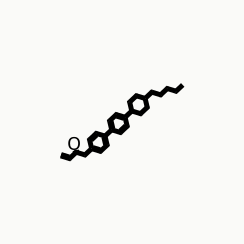 C=CC(=O)Cc1ccc(-c2ccc(C3CCC(CCCCC)CC3)cc2)cc1